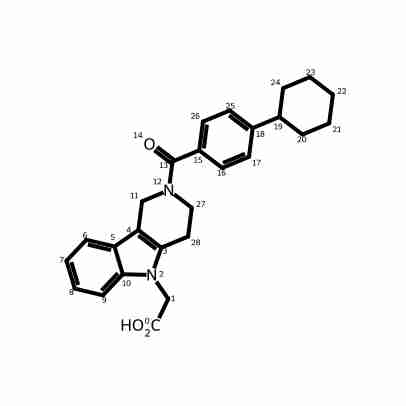 O=C(O)Cn1c2c(c3ccccc31)CN(C(=O)c1ccc(C3CCCCC3)cc1)CC2